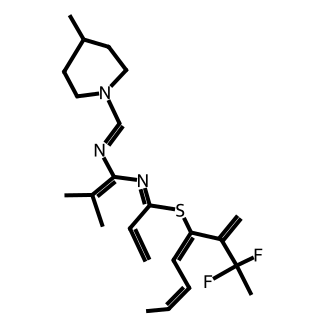 C=C/C(=N\C(/N=C/N1CCC(C)CC1)=C(C)C)S/C(=C/C=C\C)C(=C)C(C)(F)F